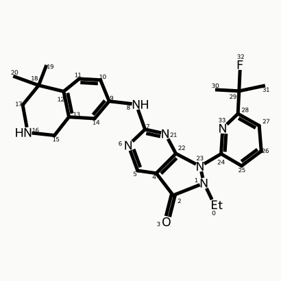 CCn1c(=O)c2cnc(Nc3ccc4c(c3)CNCC4(C)C)nc2n1-c1cccc(C(C)(C)F)n1